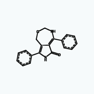 O=C1NC(c2ccccc2)=C2COCNC(c3ccccc3)=C12